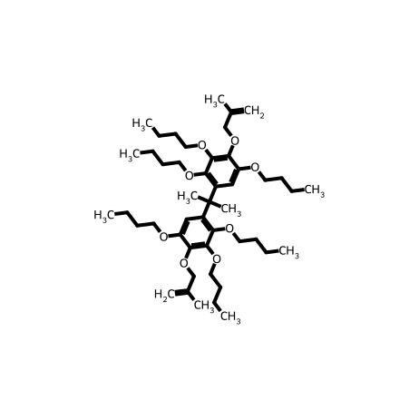 C=C(C)COc1c(OCCCC)cc(C(C)(C)c2cc(OCCCC)c(OCC(=C)C)c(OCCCC)c2OCCCC)c(OCCCC)c1OCCCC